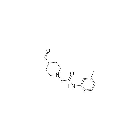 Cc1cccc(NC(=O)CN2CCC(C=O)CC2)c1